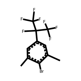 Cc1cc(C(F)(C(F)(F)F)C(F)(F)F)cc(C)c1Br